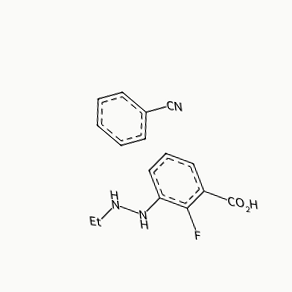 CCNNc1cccc(C(=O)O)c1F.N#Cc1ccccc1